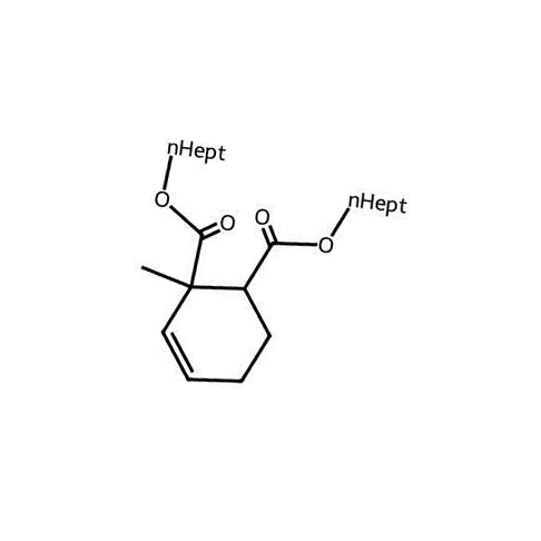 CCCCCCCOC(=O)C1CCC=CC1(C)C(=O)OCCCCCCC